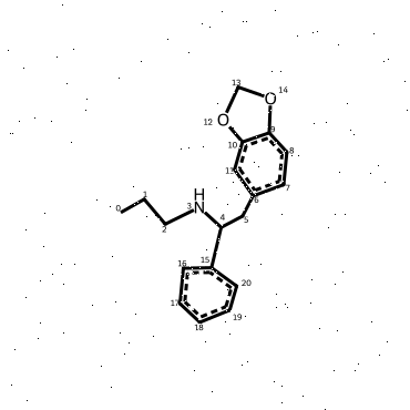 CCCNC(Cc1ccc2c(c1)OCO2)c1ccccc1